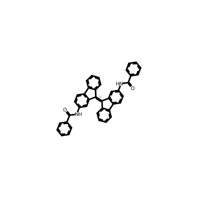 O=C(Nc1ccc2c(c1)/C(=C1\c3ccccc3-c3ccc(NC(=O)c4ccccc4)cc31)c1ccccc1-2)c1ccccc1